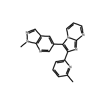 Cc1cccc(-c2nc3ncccn3c2-c2cnc3c(cnn3C)c2)n1